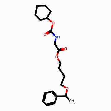 CC(OCCCCOC(=O)CNC(=O)OC1CCCCC1)c1ccccc1